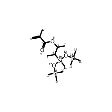 C=C(C)C(=O)OC(C)C(C)[Si](C)(O[Si](C)(C)C)O[Si](C)(C)C